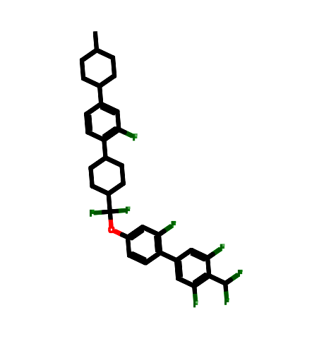 CC1CCC(c2ccc(C3CCC(C(F)(F)Oc4ccc(-c5cc(F)c(C(F)F)c(F)c5)c(F)c4)CC3)c(F)c2)CC1